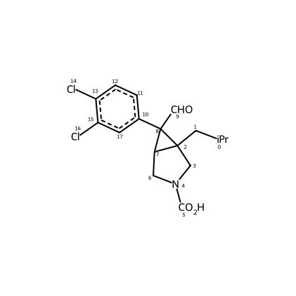 CC(C)CC12CN(C(=O)O)CC1C2(C=O)c1ccc(Cl)c(Cl)c1